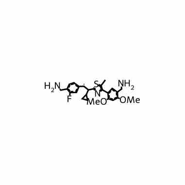 COc1cc(OC)c(-c2nc(C([CH]c3ccc(CN)c(F)c3)C3CC3)sc2C)cc1CN